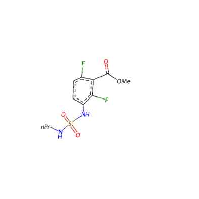 CCCNS(=O)(=O)Nc1ccc(F)c(C(=O)OC)c1F